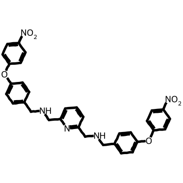 O=[N+]([O-])c1ccc(Oc2ccc(CNCc3cccc(CNCc4ccc(Oc5ccc([N+](=O)[O-])cc5)cc4)n3)cc2)cc1